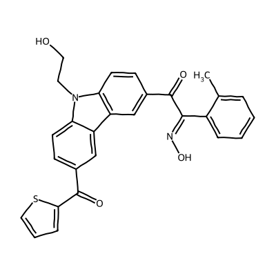 Cc1ccccc1C(=NO)C(=O)c1ccc2c(c1)c1cc(C(=O)c3cccs3)ccc1n2CCO